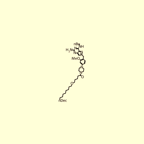 CCCCCCCCCCCCCCCCCCOCCCCC(=O)N1CCN(c2ccc(Cn3cc4nc(N)nc(NCCCC)c4n3)c(OC)c2)CC1